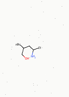 CCCCC(CO)CC(N)CC